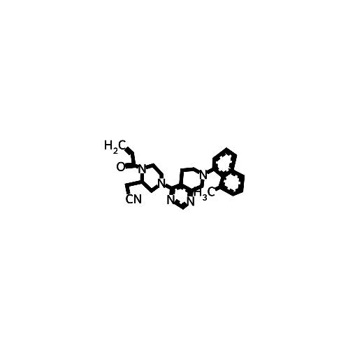 C=CC(=O)N1CCN(c2ncnc3c2CCN(c2cccc4cccc(C)c24)C3)CC1CC#N